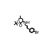 CC(C)CC(NC/C=C/c1ccc(Br)cc1)C(=O)OC(C)(C)C